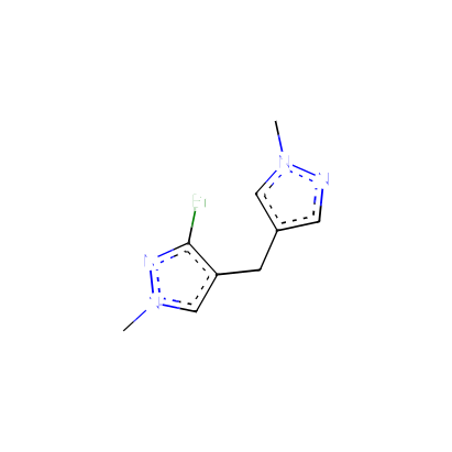 Cn1cc(Cc2cn(C)nc2Br)cn1